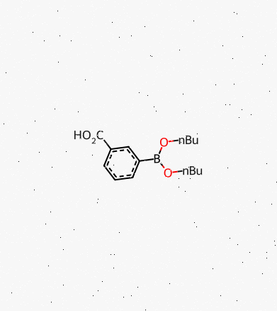 CCCCOB(OCCCC)c1cccc(C(=O)O)c1